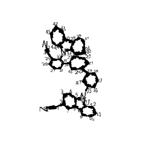 N#Cc1ccc2c(c1)c1ccccc1n2-c1cccc(-c2cccc(-c3cccc(C#N)c3-n3c4ccccc4c4ccccc43)c2)c1